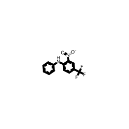 O=[N+]([O-])c1cc(C(F)(F)F)ccc1Nc1[c]cccc1